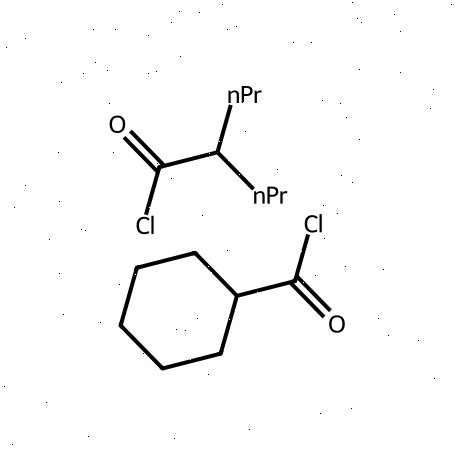 CCCC(CCC)C(=O)Cl.O=C(Cl)C1CCCCC1